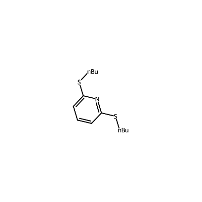 CCCCSc1cccc(SCCCC)n1